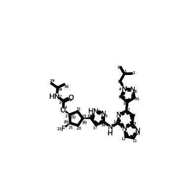 CC(C)Cn1cc(-c2cc3nccn3c(Nc3cc([C@H]4C[C@@H](F)[C@@H](OC(=O)NC(C)C)C4)[nH]n3)n2)cn1